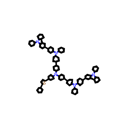 c1ccc(-c2ccc(-c3ccc(N(c4ccc(-c5ccc(N(c6ccccc6)c6ccc(-c7ccc8c(c7)c7ccccc7n8-c7ccccc7)cc6)cc5)cc4)c4ccc(-c5ccc(N(c6ccccc6)c6ccc(-c7ccc8c(c7)c7ccccc7n8-c7ccccc7)cc6)cc5)cc4)cc3)s2)cc1